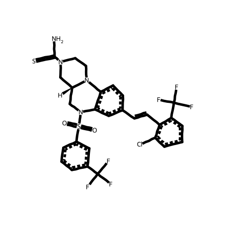 NC(=S)N1CCN2c3ccc(/C=C/c4c(Cl)cccc4C(F)(F)F)cc3N(S(=O)(=O)c3cccc(C(F)(F)F)c3)C[C@@H]2C1